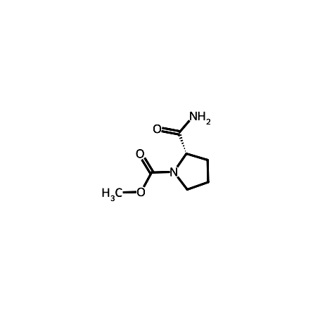 COC(=O)N1CCC[C@H]1C(N)=O